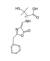 CC(C)(S)[C@@H](NC=C1N=C(Cc2ccccc2)OC1=O)C(=O)O